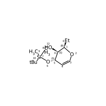 CC[C@H]1OC=C[C@H](O[Si](C)(C)C(C)(C)C)[C@H]1O